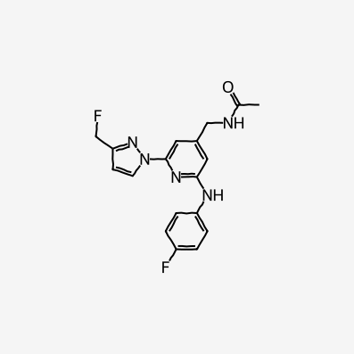 CC(=O)NCc1cc(Nc2ccc(F)cc2)nc(-n2ccc(CF)n2)c1